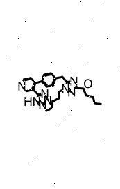 CCCCCn1nc(C(=O)CCCC)nc1Cc1ccc(-c2ccncc2-c2nnn[nH]2)cc1